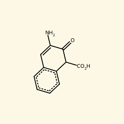 NC1=Cc2ccccc2C(C(=O)O)C1=O